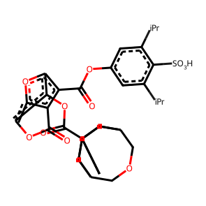 CC(C)c1cc(OC(=O)c2c3c4oc2c(OC(=O)C25CC6COCC(CC(C6)C2)C5)c4OC3=O)cc(C(C)C)c1S(=O)(=O)O